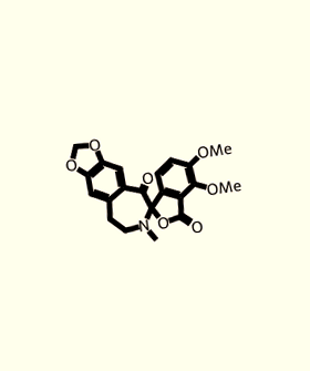 COc1ccc2c(c1OC)C(=O)OC21C(=O)c2cc3c(cc2CCN1C)OCO3